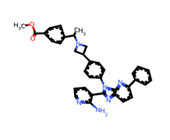 COC(=O)c1ccc(C(C)N2CC(c3ccc(-n4c(-c5cccnc5N)nc5ccc(-c6ccccc6)nc54)cc3)C2)cc1